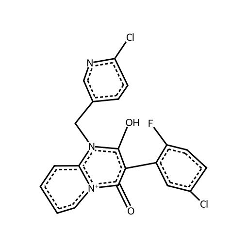 O=c1c(-c2cc(Cl)ccc2F)c(O)n(Cc2ccc(Cl)nc2)c2cccc[n+]12